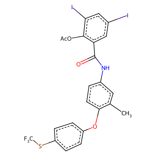 CC(=O)Oc1c(I)cc(I)cc1C(=O)Nc1ccc(Oc2ccc(SC(F)(F)F)cc2)c(C)c1